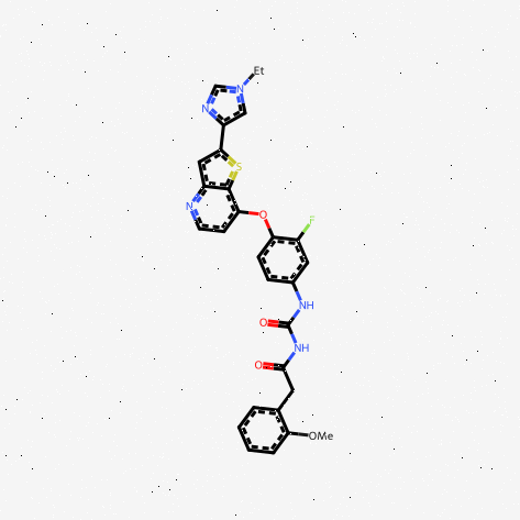 CCn1cnc(-c2cc3nccc(Oc4ccc(NC(=O)NC(=O)Cc5ccccc5OC)cc4F)c3s2)c1